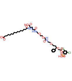 O=C(O)CCCCCCCCCCCCCCC(=O)NC(CCC(=O)NCCOCCOCC(=O)NCCOCCCC(OCC(=O)Oc1c(Cl)cc(Cl)cc1S(=O)(=O)O)c1ccccc1)C(=O)O